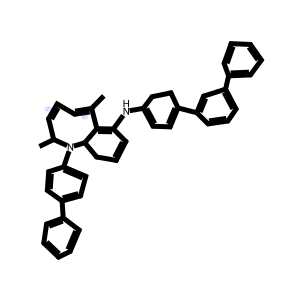 C/C1=C\C=C/C(C)N(c2ccc(-c3ccccc3)cc2)C2CC=CC(NC3=CC=C(c4cccc(-c5ccccc5)c4)CC3)=C12